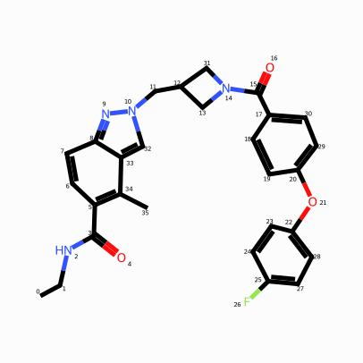 CCNC(=O)c1ccc2nn(CC3CN(C(=O)c4ccc(Oc5ccc(F)cc5)cc4)C3)cc2c1C